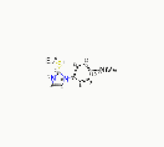 CCSc1nccn1-c1ccc(NC)cc1